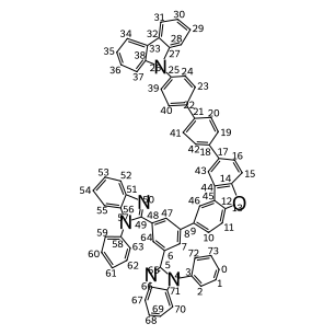 c1ccc(-n2c(-c3cc(-c4ccc5oc6ccc(-c7ccc(-c8ccc(-n9c%10ccccc%10c%10ccccc%109)cc8)cc7)cc6c5c4)cc(-c4nc5ccccc5n4-c4ccccc4)c3)nc3ccccc32)cc1